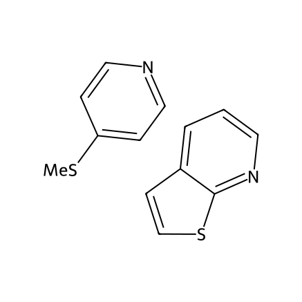 CSc1ccncc1.c1cnc2sccc2c1